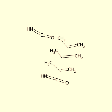 C=CC.C=CC.C=CC.N=C=O.N=C=O